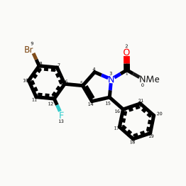 CNC(=O)N1CC(c2cc(Br)ccc2F)=CC1c1ccccc1